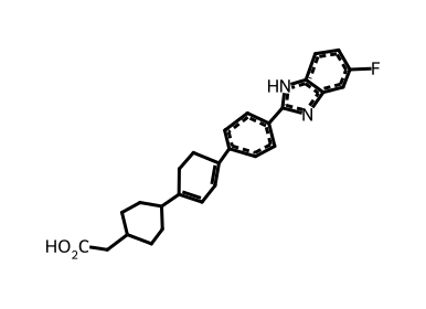 O=C(O)CC1CCC(C2=CC=C(c3ccc(-c4nc5cc(F)ccc5[nH]4)cc3)CC2)CC1